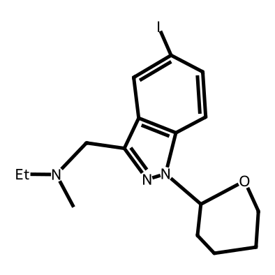 [CH2]CN(C)Cc1nn(C2CCCCO2)c2ccc(I)cc12